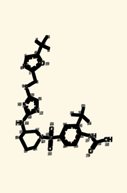 CC(C)(C)c1cnc(CSc2cnc(NC3CCCN(S(=O)(=O)c4ccc(NC(=O)O)c(C(C)(C)C)c4)C3)s2)o1